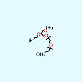 CC(C)CCOC(COC(C)(C)C)COC(C)(C)CCOC(C)(C)CCC=O